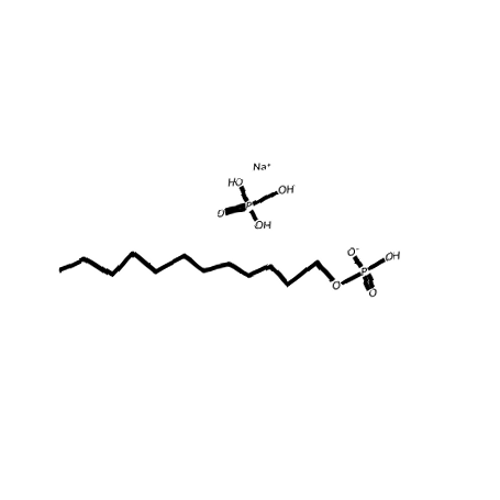 CCCCCCCCCCCCOP(=O)([O-])O.O=P(O)(O)O.[Na+]